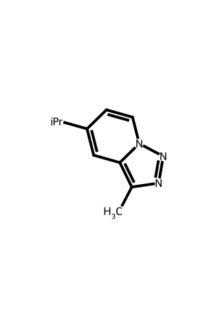 Cc1nnn2ccc(C(C)C)cc12